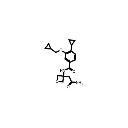 NC(=O)CC1(NC(=O)c2ccc(C3CC3)c(OCC3CC3)c2)COC1